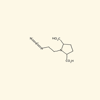 [N-]=[N+]=NCCN1C(C(=O)O)CCC1C(=O)O